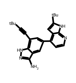 CC(C)(C)C#Cc1cc(-c2ccnc3[nH]c(C(C)(C)C)cc23)cc2c(N)n[nH]c12